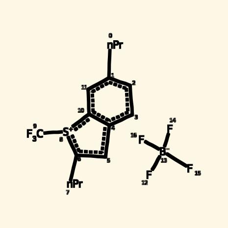 CCCc1ccc2cc(CCC)[s+](C(F)(F)F)c2c1.F[B-](F)(F)F